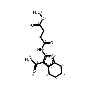 COC(=O)CCC(=O)Nc1sc2c(c1C(N)=O)CCCC2